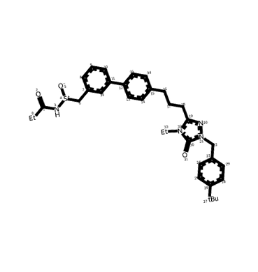 CCC(=O)N[S+]([O-])Cc1cccc(-c2ccc(CCCc3nn(Cc4ccc(C(C)(C)C)cc4)c(=O)n3CC)cc2)c1